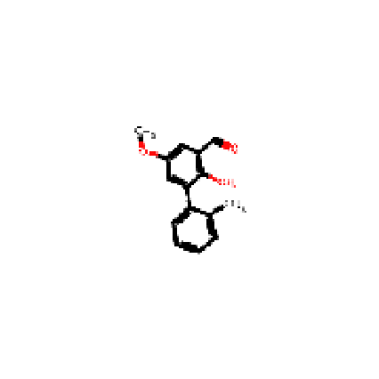 COc1cc(C=O)c(O)c(-c2ccccc2C)c1